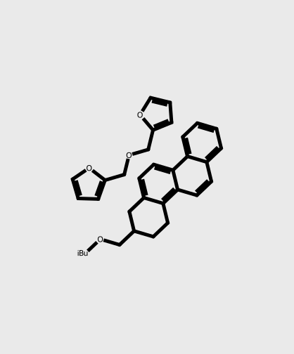 CCC(C)OCC1CCc2c(ccc3c2ccc2ccccc23)C1.c1coc(COCc2ccco2)c1